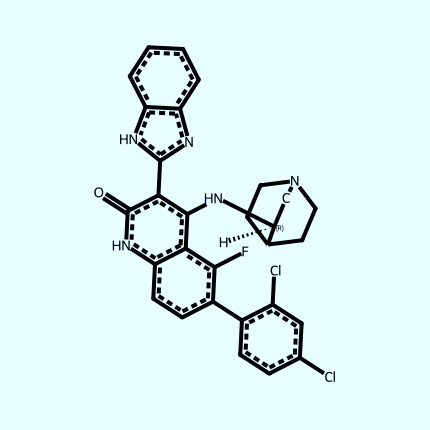 O=c1[nH]c2ccc(-c3ccc(Cl)cc3Cl)c(F)c2c(N[C@H]2CN3CCC2CC3)c1-c1nc2ccccc2[nH]1